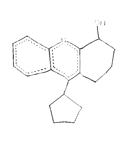 OC1CCCc2c1nc1ccccc1c2C1CCCC1